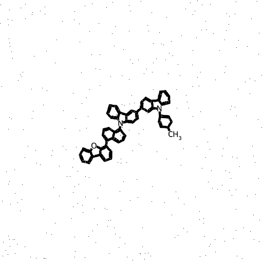 CC1C=CC(n2c3ccccc3c3ccc(-c4ccc5c(c4)c4ccccc4n5-c4cccc5c(-c6cccc7c6oc6ccccc67)cccc45)cc32)=CC1